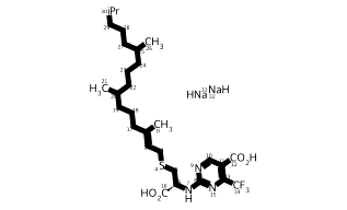 C/C(=C\CSC[C@H](Nc1ncc(C(=O)O)c(C(F)(F)F)n1)C(=O)O)CCCC(C)CCCC(C)CCCC(C)C.[NaH].[NaH]